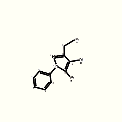 CC(C)Cc1nn(-c2ccccc2)c(C(C)C)c1O